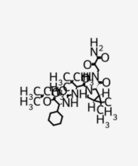 CC(C)(C)OC(=O)[C@H](NC(=O)N[C@H](C(=O)N1C[C@H]2[C@@H]([C@H]1C(=O)NCC(=O)C(N)=O)C2(C)C)C(C)(C)C)C1CCCCC1